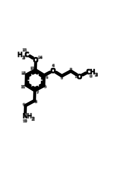 COCCOc1cc(CCN)ccc1OC